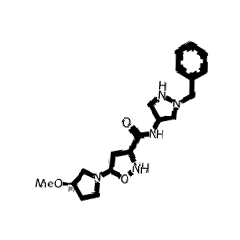 CO[C@@H]1CCN(C2CC(C(=O)NC3CNN(Cc4ccccc4)C3)NO2)C1